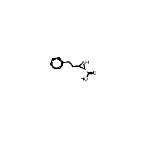 O=C(O)[C@H]1NC1CCc1ccccc1